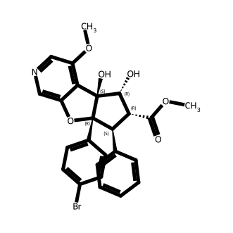 COC(=O)[C@H]1[C@@H](O)[C@@]2(O)c3c(OC)cncc3O[C@@]2(c2ccc(Br)cc2)[C@@H]1c1ccccc1